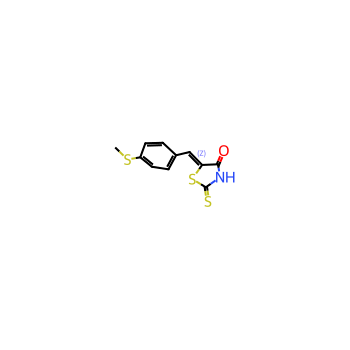 CSc1ccc(/C=C2\SC(=S)NC2=O)cc1